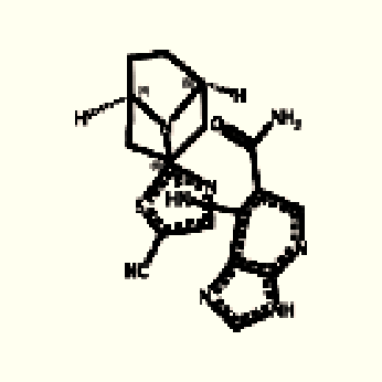 N#Cc1cnc(N2[C@@H]3CC[C@H]2C[C@H](Nc2c(C(N)=O)cnc4[nH]cnc24)C3)s1